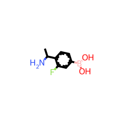 CC(N)c1ccc(B(O)O)cc1F